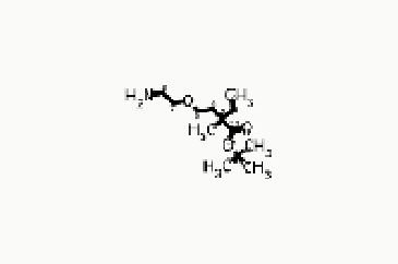 CCC(C)(CCOCCN)C(=O)OC(C)(C)C